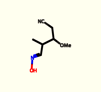 COC(CC#N)C(C)C=NO